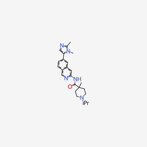 Cc1ncc(-c2ccc3cnc(NC(=O)C4(C)CCN(C(C)C)CC4)cc3c2)n1C